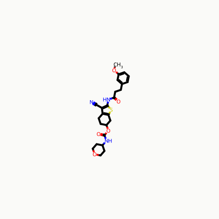 COc1cccc(CCC(=O)Nc2sc3c(c2C#N)CCC(OC(=O)NC2CCOCC2)C3)c1